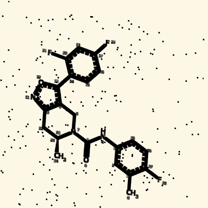 Cc1cc(NC(=O)N2Cc3c(noc3-c3ccc(F)cc3F)C[C@@H]2C)ccc1F